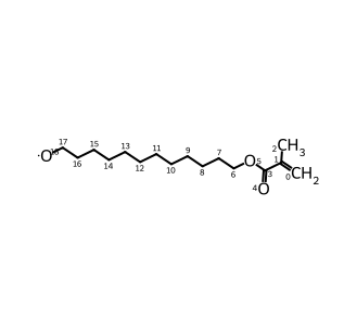 C=C(C)C(=O)OCCCCCCCCCCCC[O]